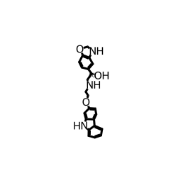 O[C@@H](CNCCOc1ccc2c(c1)[nH]c1ccccc12)c1ccc2c(c1)NCO2